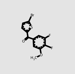 COc1cc(C(=O)c2ccc(Br)s2)cc(F)c1F